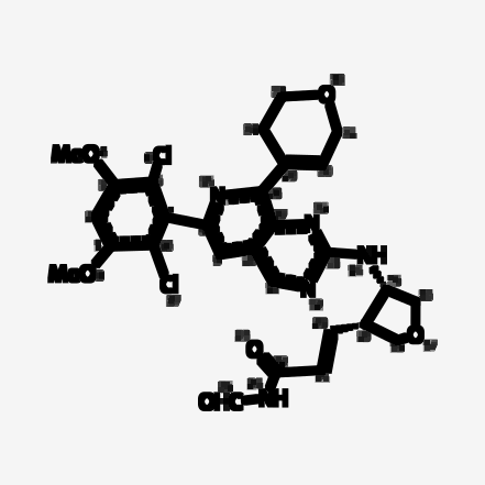 COc1cc(OC)c(Cl)c(-c2cc3cnc(N[C@@H]4COC[C@@H]4C=CC(=O)NC=O)nc3c(C3=CCOCC3)n2)c1Cl